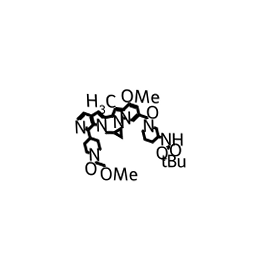 COCC(=O)N1CCC(c2nccc3cc(-c4nn5cc(C(=O)N6CCCC(NC(=O)OC(C)(C)C)C6)cc(OC)c5c4C)n(CC4CC4)c23)CC1